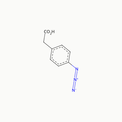 [N-]=[N+]=Nc1ccc(CC(=O)O)cc1